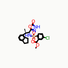 COC(=O)c1cc(Cl)ccc1S(=O)(=O)N[C@H](c1n[nH]c(=O)o1)[C@H](C)c1cccc2c1CCC2